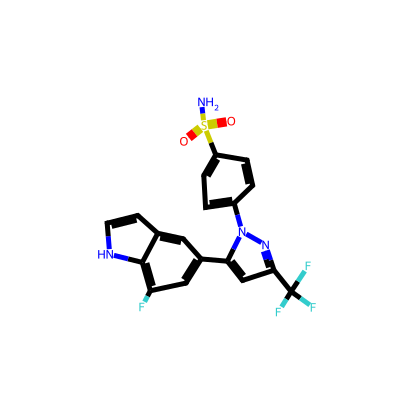 NS(=O)(=O)c1ccc(-n2nc(C(F)(F)F)cc2-c2cc(F)c3[nH]ccc3c2)cc1